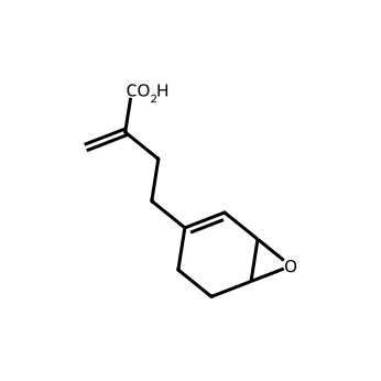 C=C(CCC1=CC2OC2CC1)C(=O)O